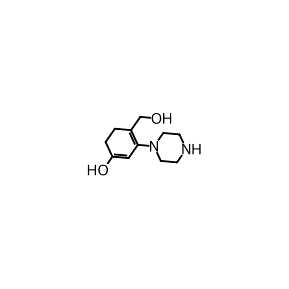 OCC1=C(N2CCNCC2)C=C(O)CC1